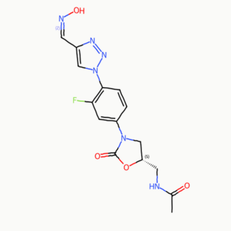 CC(=O)NC[C@H]1CN(c2ccc(-n3cc(/C=N\O)nn3)c(F)c2)C(=O)O1